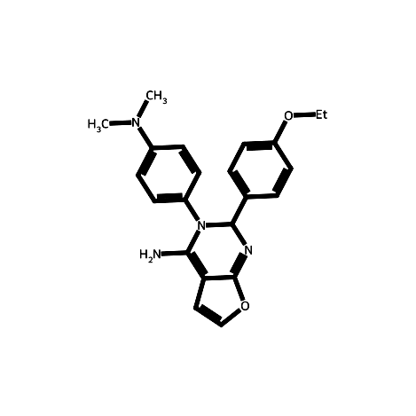 CCOc1ccc(C2N=c3occc3=C(N)N2c2ccc(N(C)C)cc2)cc1